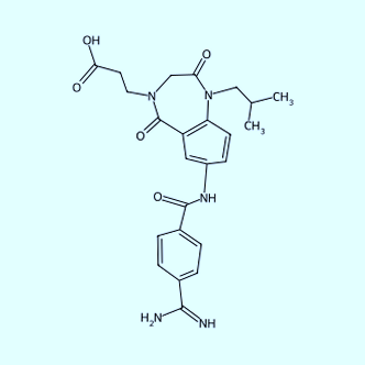 CC(C)CN1C(=O)CN(CCC(=O)O)C(=O)c2cc(NC(=O)c3ccc(C(=N)N)cc3)ccc21